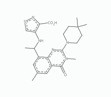 Cc1cc(C(C)Nc2csnc2C(=O)O)c2nc(N3CCC(C)(C)CC3)n(C)c(=O)c2c1